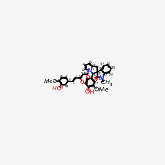 COc1ccc(/C=C/C(O)=C/C(=O)[N+]23C=CC=C2CC2(C(=O)N(C)c4ccccc42)C3c2ccc(O)c(OC)c2)cc1O